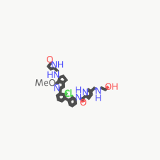 COc1nc(-c2cccc(-c3cccc(NC(=O)c4ccc(CNCCO)cn4)c3Cl)c2Cl)cc2c1C(NCC1CCC(=O)N1)CC2